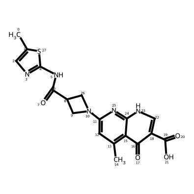 Cc1cnc(NC(=O)C2CN(c3cc(C)c4c(=O)c(C(=O)O)c[nH]c4n3)C2)s1